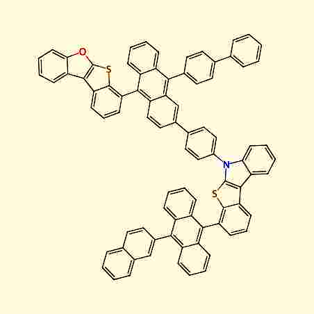 c1ccc(-c2ccc(-c3c4ccccc4c(-c4cccc5c4sc4oc6ccccc6c45)c4ccc(-c5ccc(-n6c7ccccc7c7c8cccc(-c9c%10ccccc%10c(-c%10ccc%11ccccc%11c%10)c%10ccccc9%10)c8sc76)cc5)cc34)cc2)cc1